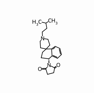 CC(C)CCN1CCC2(CC[C@H](N3C(=O)CCC3=O)c3ccccc32)CC1